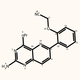 CCCc1nc(N)nc2ccc(-c3ccccc3OCC#N)nc12